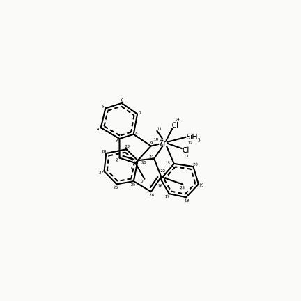 CC1=Cc2ccccc2[CH]1[Zr]([CH3])([SiH3])([Cl])([Cl])([c]1ccccc1)[CH]1C(C)=Cc2ccccc21